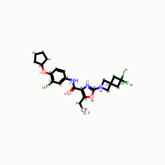 O=C(Nc1ccc(OC2CCCC2)c(F)c1)c1nc(N2CC3(C2)CC(F)(F)C3)oc1CC(F)(F)F